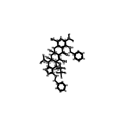 CN(C)c1nc(Br)c2c(c1OCc1ccccc1)C(=O)C1=C(O)[C@]3(O[Si](C)(C)C(C)(C)C)C(=O)c4c(OCc5ccccc5)noc4[C@@H](N(C)C)[C@@H]3C[C@@H]1C2